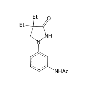 CCC1(CC)CN(c2cccc(NC(C)=O)c2)NC1=O